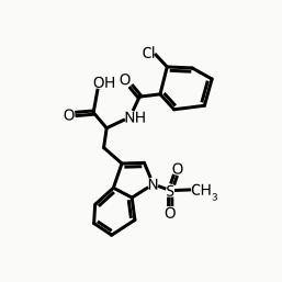 CS(=O)(=O)n1cc(CC(NC(=O)c2ccccc2Cl)C(=O)O)c2ccccc21